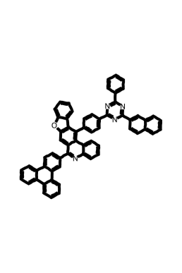 c1ccc(-c2nc(-c3ccc(-c4c5c(cc6c(-c7ccc8c9ccccc9c9ccccc9c8c7)nc7ccccc7c46)oc4ccccc45)cc3)nc(-c3ccc4ccccc4c3)n2)cc1